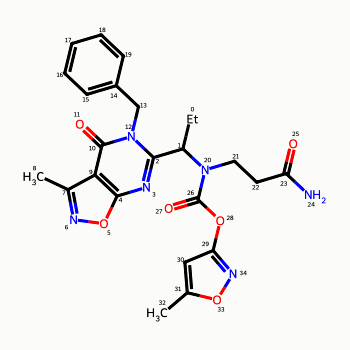 CCC(c1nc2onc(C)c2c(=O)n1Cc1ccccc1)N(CCC(N)=O)C(=O)Oc1cc(C)on1